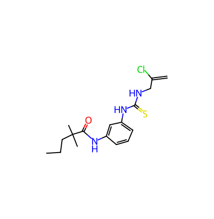 C=C(Cl)CNC(=S)Nc1cccc(NC(=O)C(C)(C)CCC)c1